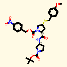 COc1ccc(CS[C@H]2C[C@@H](C(=O)N[C@H]3CCN(C(=O)OC(C)(C)C)C3)N(C(=O)OCc3ccc([N+](=O)[O-])cc3)C2)cc1